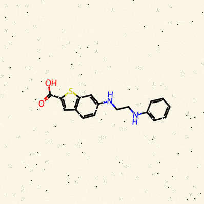 O=C(O)c1cc2ccc(NCCNc3ccccc3)cc2s1